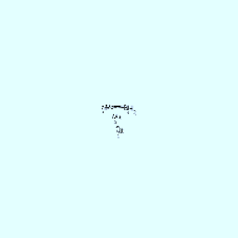 [BH2][Mo].[Cu].[Mn].[Zn]